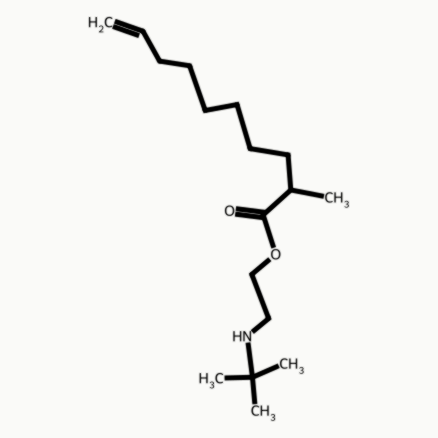 C=CCCCCCCC(C)C(=O)OCCNC(C)(C)C